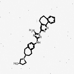 Nc1nc(Nc2ccc3c(c2)CCC(N2CC[C@@H](O)C2)CC3)nn1-c1cc2c(nn1)-c1ccccc1CCC2